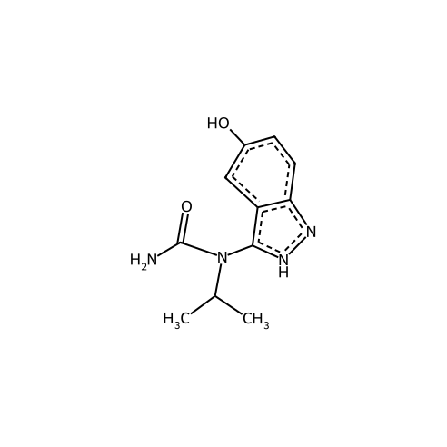 CC(C)N(C(N)=O)c1[nH]nc2ccc(O)cc12